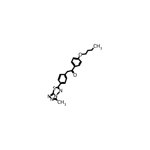 CCCCOc1ccc(C(=O)Cc2ccc(-c3nn4c(C)nnc4s3)cc2)cc1